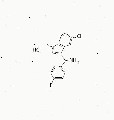 Cl.Cn1cc(C(N)c2ccc(F)cc2)c2cc(Cl)ccc21